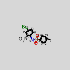 Cc1ccc(S(=O)(=O)N(C)c2ccc(Br)cc2[N+](=O)[O-])cc1